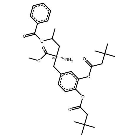 COC(=O)[C@](N)(Cc1ccc(OC(=O)CC(C)(C)C)c(OC(=O)CC(C)(C)C)c1)CC(C)OC(=O)c1ccccc1